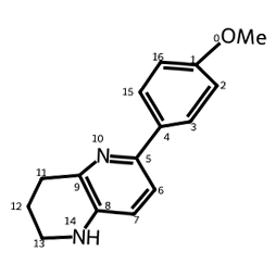 COc1ccc(-c2ccc3c(n2)CCCN3)cc1